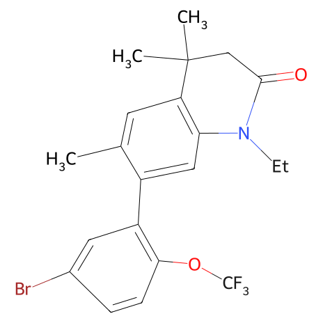 CCN1C(=O)CC(C)(C)c2cc(C)c(-c3cc(Br)ccc3OC(F)(F)F)cc21